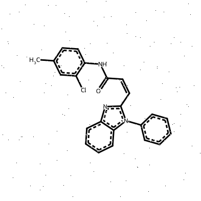 Cc1ccc(NC(=O)/C=C\c2nc3ccccc3n2-c2ccccc2)c(Cl)c1